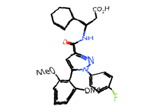 COc1cccc(OC)c1-c1cc(C(=O)NC(CC(=O)O)C2CCCCC2)nn1-c1ccc(F)cc1